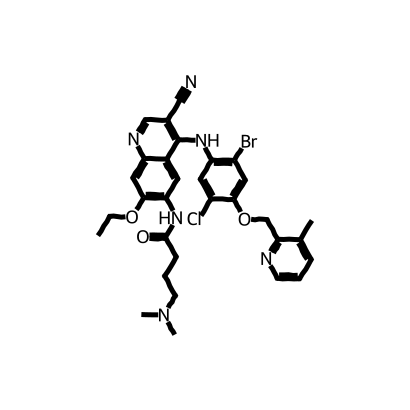 CCOc1cc2ncc(C#N)c(Nc3cc(Cl)c(OCc4ncccc4C)cc3Br)c2cc1NC(=O)CCCN(C)C